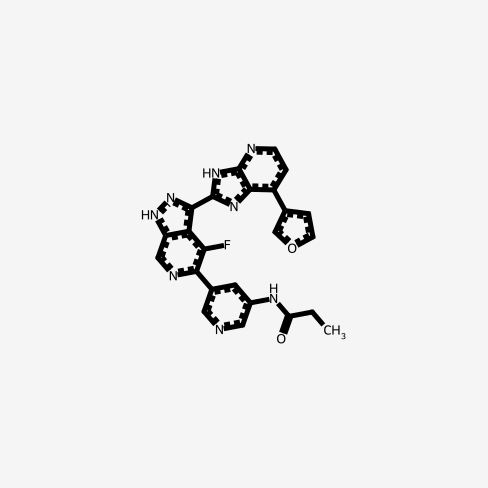 CCC(=O)Nc1cncc(-c2ncc3[nH]nc(-c4nc5c(-c6ccoc6)ccnc5[nH]4)c3c2F)c1